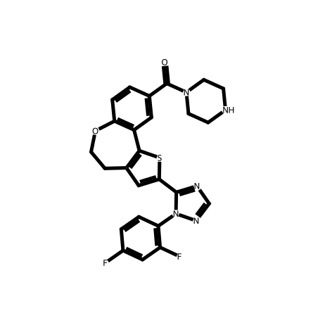 O=C(c1ccc2c(c1)-c1sc(-c3ncnn3-c3ccc(F)cc3F)cc1CCO2)N1CCNCC1